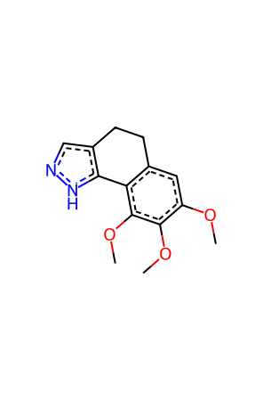 COc1cc2c(c(OC)c1OC)-c1[nH]ncc1CC2